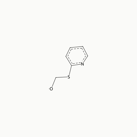 [O]CSc1ccccn1